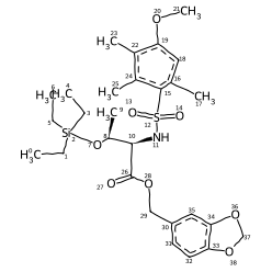 CC[Si](CC)(CC)O[C@@H](C)[C@@H](NS(=O)(=O)c1c(C)cc(OC)c(C)c1C)C(=O)OCc1ccc2c(c1)OCO2